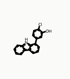 Oc1cc(-c2cccc3c2[nH]c2ccccc23)ccc1Cl